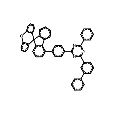 c1ccc(-c2cccc(-c3nc(-c4ccccc4)nc(-c4ccc(-c5cccc6c5-c5ccccc5C65c6ccccc6Oc6ccccc65)cc4)n3)c2)cc1